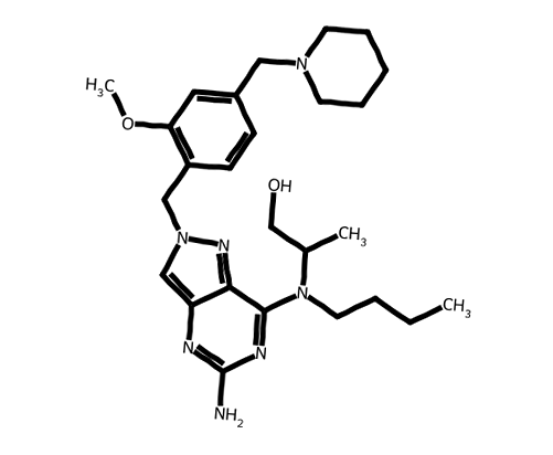 CCCCN(c1nc(N)nc2cn(Cc3ccc(CN4CCCCC4)cc3OC)nc12)C(C)CO